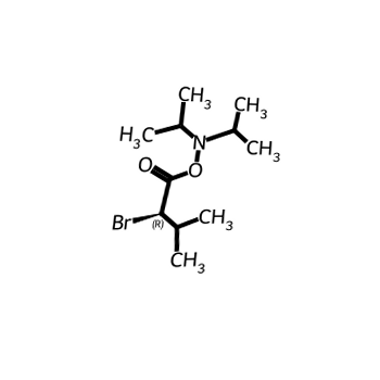 CC(C)[C@@H](Br)C(=O)ON(C(C)C)C(C)C